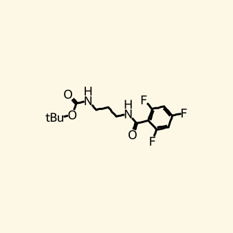 CC(C)(C)OC(=O)NCCCNC(=O)c1c(F)cc(F)cc1F